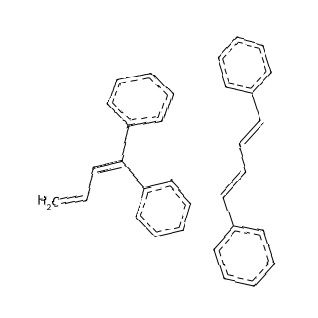 C(/C=C/c1ccccc1)=C\c1ccccc1.C=CC=C(c1ccccc1)c1ccccc1